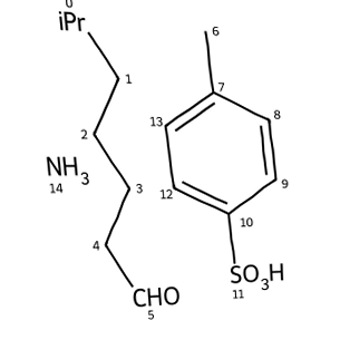 CC(C)CCCCC=O.Cc1ccc(S(=O)(=O)O)cc1.N